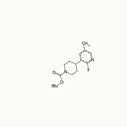 Cc1cnc(F)c(C2CCN(C(=O)OC(C)(C)C)CC2)c1